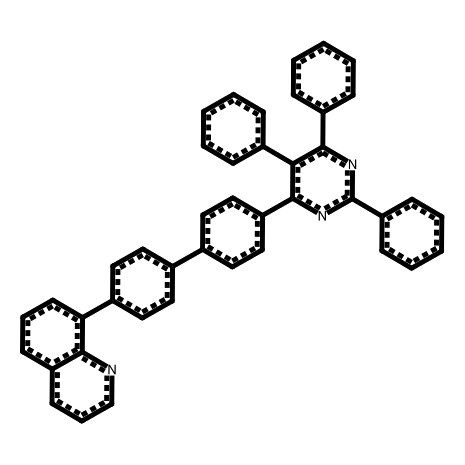 c1ccc(-c2nc(-c3ccccc3)c(-c3ccccc3)c(-c3ccc(-c4ccc(-c5cccc6cccnc56)cc4)cc3)n2)cc1